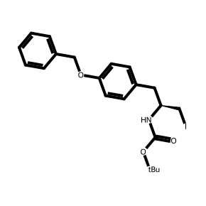 CC(C)(C)OC(=O)N[C@H](CI)Cc1ccc(OCc2ccccc2)cc1